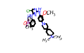 COc1cc(N2CCC3(CCC(N(C)C)CC3)CC2)ccc1Nc1ncc(Cl)c(Nc2ccccc2P(C)(C)=O)n1